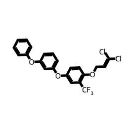 FC(F)(F)c1cc(Oc2cccc(Oc3ccccc3)c2)ccc1OCC=C(Cl)Cl